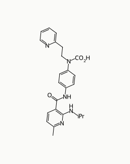 Cc1ccc(C(=O)Nc2ccc(N(CCc3ccccn3)C(=O)O)cc2)c(NC(C)C)n1